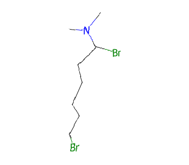 CN(C)C(Br)CCCCCBr